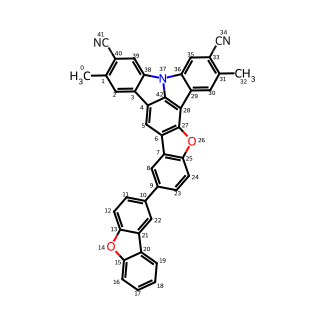 Cc1cc2c3cc4c5cc(-c6ccc7oc8ccccc8c7c6)ccc5oc4c4c5cc(C)c(C#N)cc5n(c2cc1C#N)c34